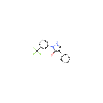 O=c1c(-c2ccccc2)c[nH]n1-c1cccc(C(F)(F)F)c1